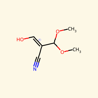 COC(OC)/C(C#N)=C/O